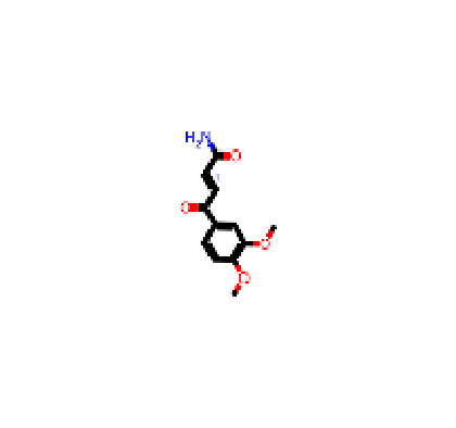 COc1ccc(C(=O)/C=C/C(N)=O)cc1OC